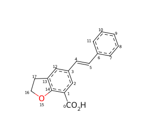 O=C(O)c1cc(/C=C/c2ccccc2)cc2c1OCC2